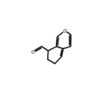 O=CC1CCC=C2C=COC=C21